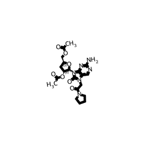 CC(=O)OC[C@@H]1C[C@@H](OC(C)=O)[C@H](n2c(=O)n(CC(=O)N3CCCC3)c3cnc(N)nc32)O1